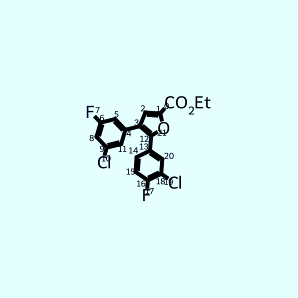 CCOC(=O)c1cc(-c2cc(F)cc(Cl)c2)c(-c2ccc(F)c(Cl)c2)o1